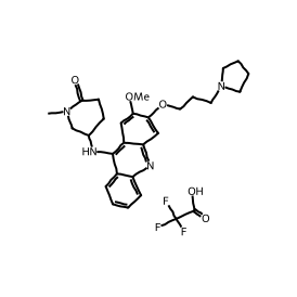 COc1cc2c(NC3CCC(=O)N(C)C3)c3ccccc3nc2cc1OCCCN1CCCC1.O=C(O)C(F)(F)F